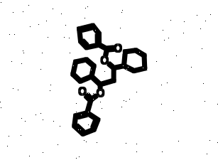 O=C(OC(CC(OC(=O)c1ccccc1)C1CCCCC1)C1CCCCC1)c1ccccc1